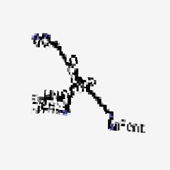 CCCCC/C=C\C/C=C\CCCCCCCC(=O)OCC(COC(=O)CCCCCCC/C=C\C/C=C\CCCCC)OC(=O)CCC(CC/C=C\CCCCC)OC(=O)NCCN(C)CC